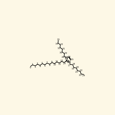 CCCCCCCCCCCCCCCc1n(CCCCCCCC)cc[n+]1CCCCCCCC